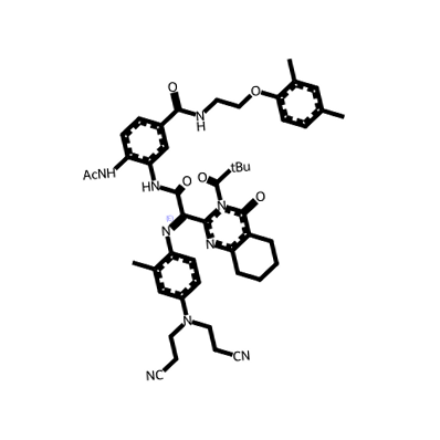 CC(=O)Nc1ccc(C(=O)NCCOc2ccc(C)cc2C)cc1NC(=O)/C(=N/c1ccc(N(CCC#N)CCC#N)cc1C)c1nc2c(c(=O)n1C(=O)C(C)(C)C)CCCC2